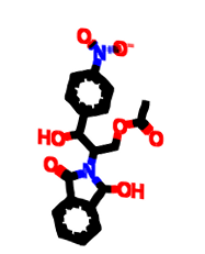 CC(=O)OCC(C(O)c1ccc([N+](=O)[O-])cc1)N1C(=O)c2ccccc2C1O